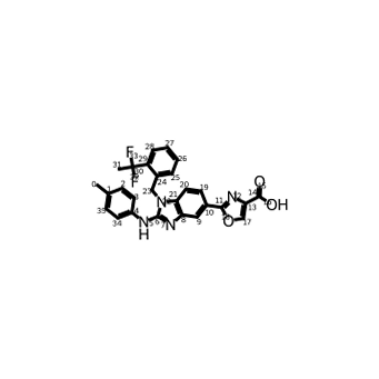 Cc1ccc(Nc2nc3cc(-c4nc(C(=O)O)co4)ccc3n2Cc2ccccc2C(C)(F)F)cc1